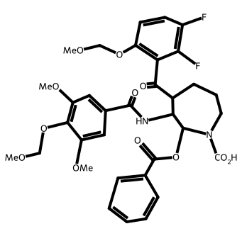 COCOc1ccc(F)c(F)c1C(=O)C1CCCN(C(=O)O)C(OC(=O)c2ccccc2)C1NC(=O)c1cc(OC)c(OCOC)c(OC)c1